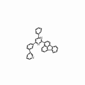 c1ccc(-c2cc(-c3cccc(-c4cccnc4)c3)nc(-c3ccc4c5c(cccc35)-c3ccccc3-4)n2)cc1